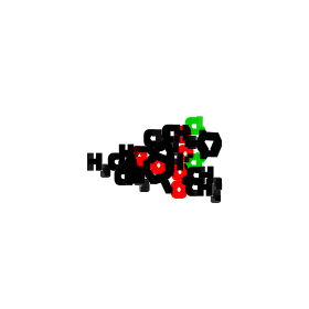 CC1=C[C@]23C(=O)[C@@H](C=C4COC(C)(C)O[C@H]4[C@]2(O)[C@H]1OC(=O)c1c(Cl)cccc1Cl)[C@H]1[C@@H](C[C@H]3C)C1(C)C